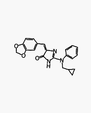 O=C1NC(N(CC2CC2)c2ccccc2)=NC1=Cc1ccc2c(c1)OCO2